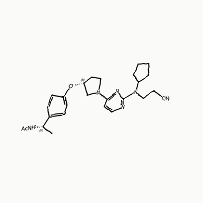 CC(=O)N[C@@H](C)c1ccc(O[C@@H]2CCN(c3ccnc(N(CCC#N)C4CCCC4)n3)C2)cc1